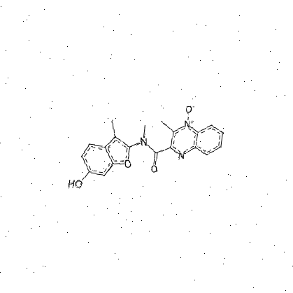 Cc1c(N(C)C(=O)c2nc3ccccc3[n+]([O-])c2C)oc2cc(O)ccc12